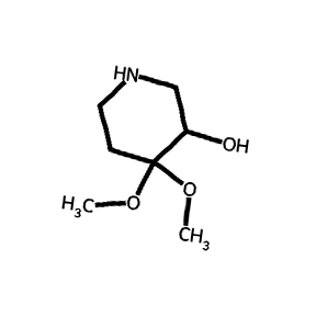 COC1(OC)CCNCC1O